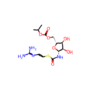 CC(C)OC(=O)OC[C@H]1O[C@@H](NC(=O)S/C=C/N=C(N)N)[C@H](O)[C@@H]1O